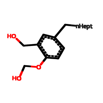 CCCCCCCCc1ccc(OCO)c(CO)c1